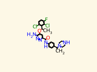 C=C(c1ccc(NC(=O)c2cc(OC(C)c3c(Cl)ccc(F)c3Cl)c(N)nn2)cc1)N1CCNCC1